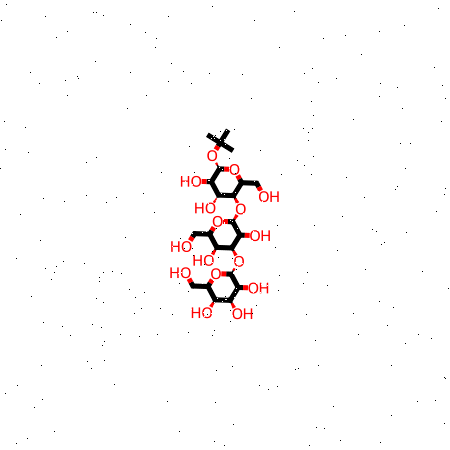 CC(C)(C)O[C@@H]1OC(CO)[C@@H](O[C@@H]2OC(CO)[C@H](O)[C@H](O[C@H]3OC(CO)[C@H](O)[C@H](O)C3O)C2O)[C@H](O)C1O